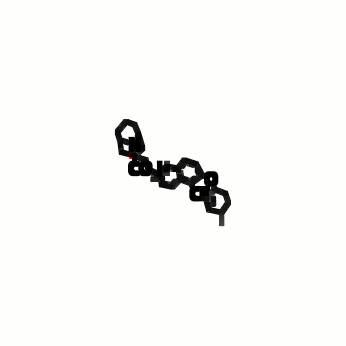 CC1CCC(Oc2ccc3cc(CCCN4C5CCCC4CC(C(=O)O)C5)ccc3c2C(F)(F)F)CC1